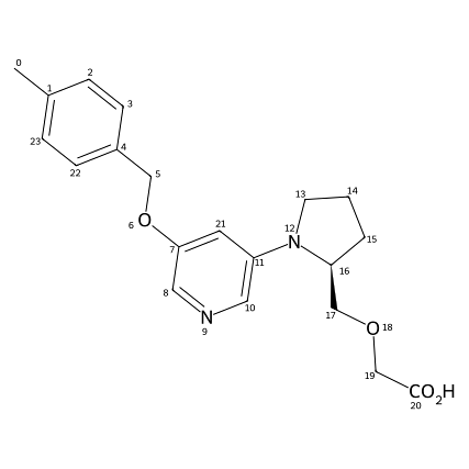 Cc1ccc(COc2cncc(N3CCC[C@H]3COCC(=O)O)c2)cc1